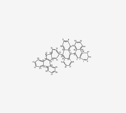 C1=Cc2cc(-c3c4ccccc4c(-c4ccc5sc6c7ccccc7c7ccccc7c6c5c4)c4ccccc34)c3ccccc3c2CC1